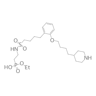 CCOP(=O)(O)CCNS(=O)(=O)CCCCc1ccccc1OCCCCC1CCNCC1